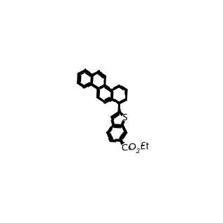 CCOC(=O)c1ccc2cc(C3CCCc4c3ccc3c4ccc4ccccc43)sc2c1